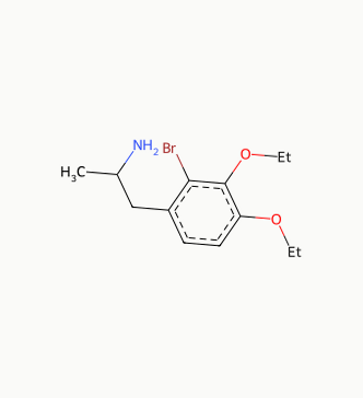 CCOc1ccc(CC(C)N)c(Br)c1OCC